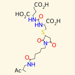 CC(=O)[C@@H](C)CNC(=O)CCCCCN1C(=O)CC(SC[C@H](NC(=O)N[C@@H](CCC(=O)O)C(=O)O)C(=O)O)C1=O